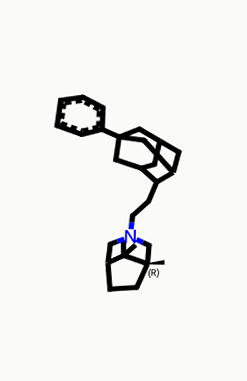 CC1(C)C2CC[C@@]1(C)CN(CCC1C3CC4CC1CC(c1ccccc1)(C4)C3)C2